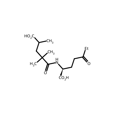 CCC(=O)CC[C@H](NC(=O)C(C)(C)CC(C)C(=O)O)C(=O)O